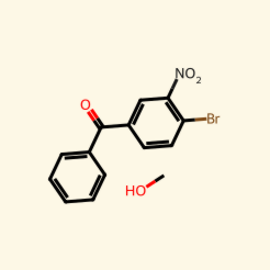 CO.O=C(c1ccccc1)c1ccc(Br)c([N+](=O)[O-])c1